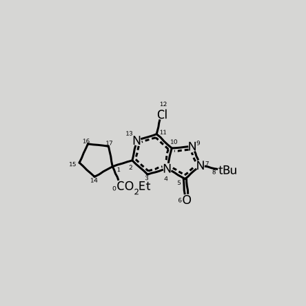 CCOC(=O)C1(c2cn3c(=O)n(C(C)(C)C)nc3c(Cl)n2)CCCC1